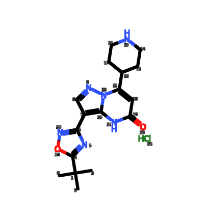 CC(C)(C)c1nc(-c2cnn3c(C4CCNCC4)cc(=O)[nH]c23)no1.Cl